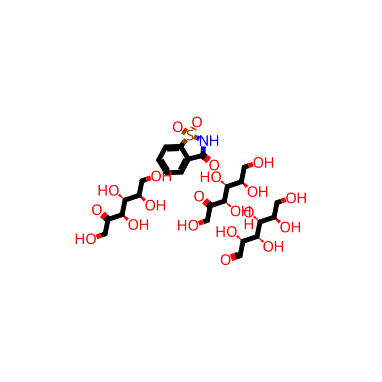 O=C(CO)[C@@H](O)[C@H](O)[C@H](O)CO.O=C(CO)[C@H](O)[C@H](O)[C@H](O)CO.O=C1NS(=O)(=O)c2ccccc21.O=C[C@H](O)[C@@H](O)[C@H](O)[C@H](O)CO